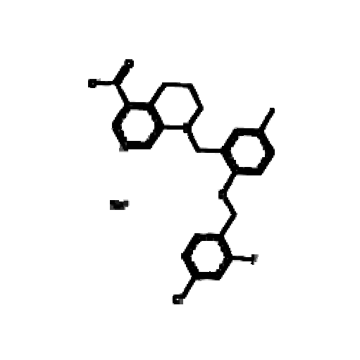 Cc1ccc(OCc2ccc(Cl)cc2F)c(CN2CCCc3c(C(=O)[O-])cncc32)c1.[Na+]